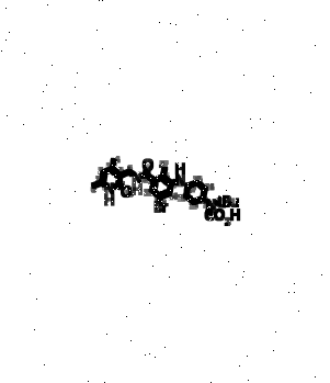 Cc1cc(C)c(CNC(=O)c2cc(Br)cc(N[C@H]3CC[C@H](N(C(=O)O)C(C)(C)C)CC3)c2C)c(=O)[nH]1